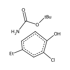 CC(C)(C)OC(N)=O.CCc1ccc(O)c(Cl)c1